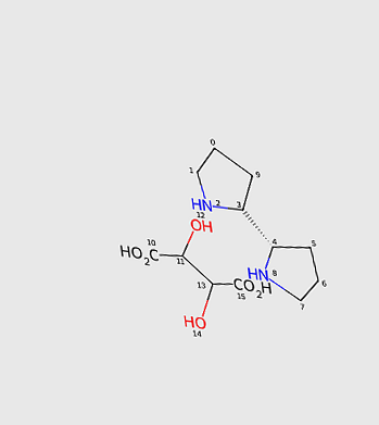 C1CNC([C@@H]2CCCN2)C1.O=C(O)C(O)C(O)C(=O)O